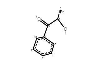 CC(C)C(Cl)C(=O)c1ccccc1